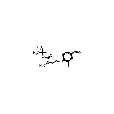 CN(CCOc1ccc(C=O)cc1F)C(=O)OC(C)(C)C